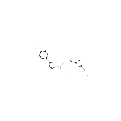 CC(CNC(=O)c1csc(CC#N)n1)n1ccc(-c2cc(F)c(C#N)c(F)c2)n1